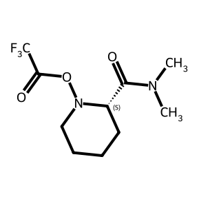 CN(C)C(=O)[C@@H]1CCCCN1OC(=O)C(F)(F)F